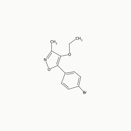 CCOc1c(C)noc1-c1ccc(Br)cc1